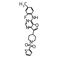 Cc1ccc(Nc2ncnc3c(C4CCN(S(=O)(=O)c5cccs5)CC4)coc23)c(F)c1